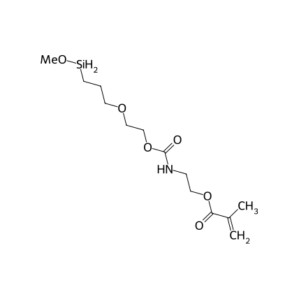 C=C(C)C(=O)OCCNC(=O)OCCOCCC[SiH2]OC